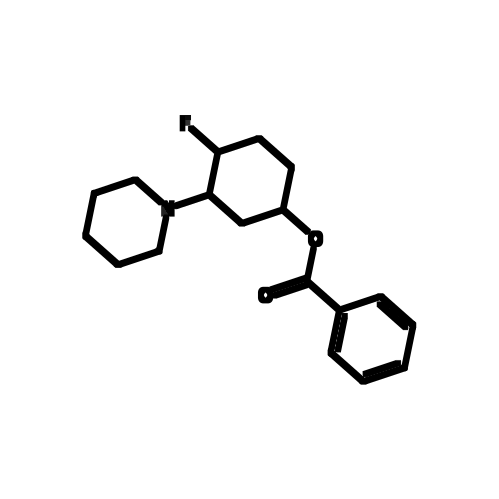 O=C(OC1CCC(F)C(N2CCCCC2)C1)c1ccccc1